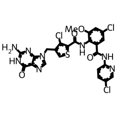 COc1cc(Cl)cc(C(=O)Nc2ccc(Cl)cn2)c1NC(=O)c1scc(Cn2cnc3c(=O)[nH]c(N)nc32)c1Cl